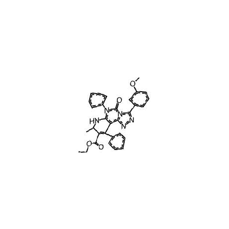 CCOC(=O)C1=C(c2ccccc2)c2c(n(-c3ccccc3)c(=O)n3c(-c4cccc(OC)c4)nnc23)NC1C